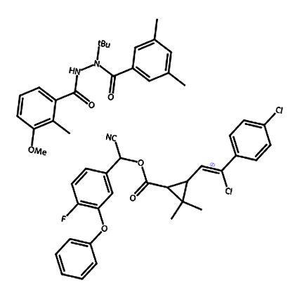 CC1(C)C(/C=C(\Cl)c2ccc(Cl)cc2)C1C(=O)OC(C#N)c1ccc(F)c(Oc2ccccc2)c1.COc1cccc(C(=O)NN(C(=O)c2cc(C)cc(C)c2)C(C)(C)C)c1C